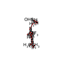 Cc1ncsc1-c1ccc(CNC=O)c(OCCCCCCCCN2CCN(CCC(CSc3ccccc3)Nc3ccc(S(=O)(=O)NC(=O)c4ccc(N5CCN(CC6=C(C(C)CC(C(F)F)C7CC7)CC(C)(C)CC6)CC5)cc4)cc3S(=O)(=O)C(F)(F)F)CC2)c1